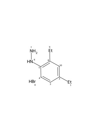 Br.CCc1ccc(NN)c(CC)c1